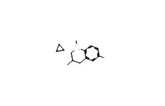 CC1Cc2cc(F)ccc2N(C)[C@H]1C1CC1